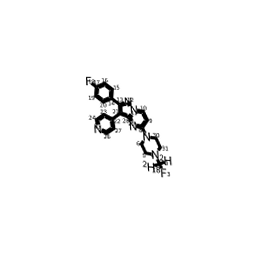 [2H]C([2H])([18F])N1CCN(c2ccn3nc(-c4ccc(F)cc4)c(-c4ccncc4)c3n2)CC1